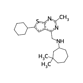 Cc1nc(CNC2CCCCC(C)(C)C2)c2cc(C3CCCCC3)sc2n1